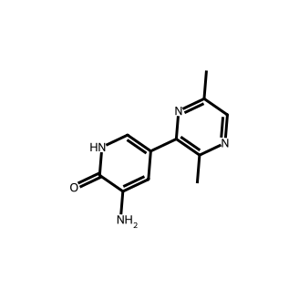 Cc1cnc(C)c(-c2c[nH]c(=O)c(N)c2)n1